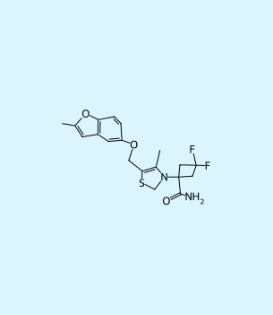 CC1=C(COc2ccc3oc(C)cc3c2)SCN1C1(C(N)=O)CC(F)(F)C1